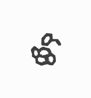 C=Cc1ccccc1.c1cc2ccc3cccc4ccc(c1)c2c34